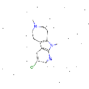 CN1CCc2c(n(C)c3ncc(Cl)cc23)CC1